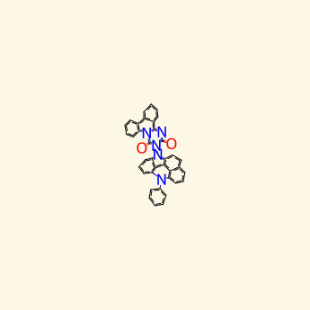 O=c1nc2c3ccccc3c3ccccc3n2c(=O)n1-n1c2cccc3c2c2c4c(cccc4ccc21)N3c1ccccc1